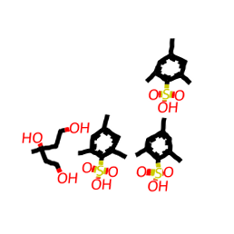 CC(O)(CCO)CCO.Cc1cc(C)c(S(=O)(=O)O)c(C)c1.Cc1cc(C)c(S(=O)(=O)O)c(C)c1.Cc1cc(C)c(S(=O)(=O)O)c(C)c1